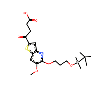 COc1cc2sc(C(=O)CCC(=O)O)cc2nc1OCCCO[Si](C)(C)C(C)(C)C